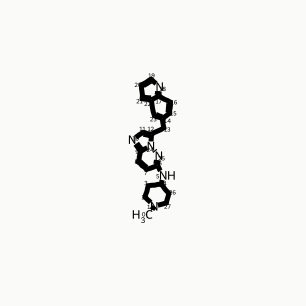 CN1CCC(Nc2ccc3ncc(Cc4ccc5ncccc5c4)n3n2)CC1